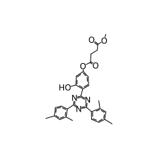 COC(=O)CCC(=O)Oc1ccc(-c2nc(-c3ccc(C)cc3C)nc(-c3ccc(C)cc3C)n2)c(O)c1